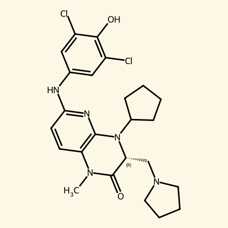 CN1C(=O)[C@@H](CN2CCCC2)N(C2CCCC2)c2nc(Nc3cc(Cl)c(O)c(Cl)c3)ccc21